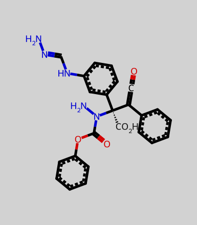 NN=CNc1cccc([C@@](C(=O)O)(C(=C=O)c2ccccc2)N(N)C(=O)Oc2ccccc2)c1